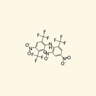 O=[N+]([O-])c1cc([N+](=O)[O-])c(Nc2cc(C(F)(F)F)c([N+](=O)[O-])cc2C(F)(F)F)c(C(F)(F)F)c1